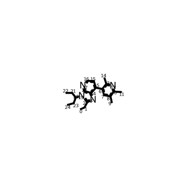 CCc1nc2c(-c3cc(C)c(C)nc3C)ccnc2n1C(CC)CC